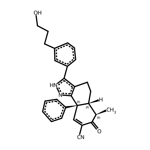 C[C@H]1C(=O)C(C#N)=C[C@]2(c3ccccc3)c3n[nH]c(-c4cccc(CCCO)c4)c3CC[C@H]12